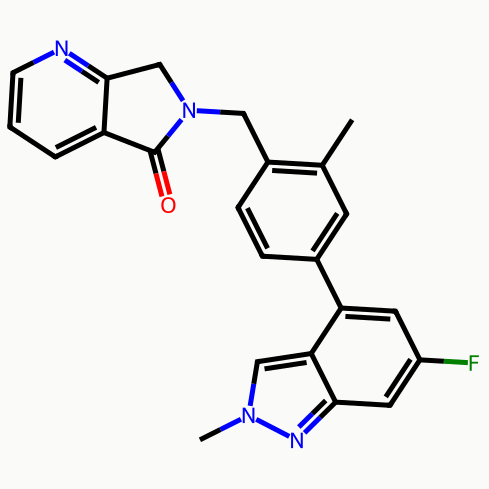 Cc1cc(-c2cc(F)cc3nn(C)cc23)ccc1CN1Cc2ncccc2C1=O